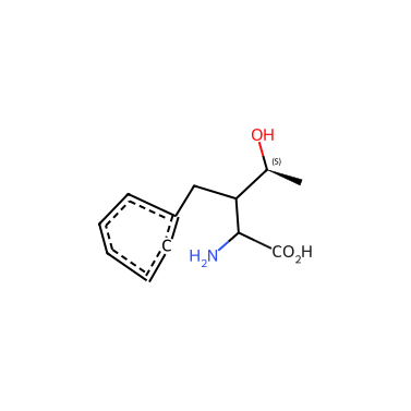 C[C@H](O)C(Cc1ccccc1)C(N)C(=O)O